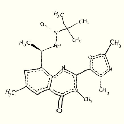 Cc1cc([C@@H](C)N[S@+]([O-])C(C)(C)C)c2nc(-c3oc(C)nc3C)n(C)c(=O)c2c1